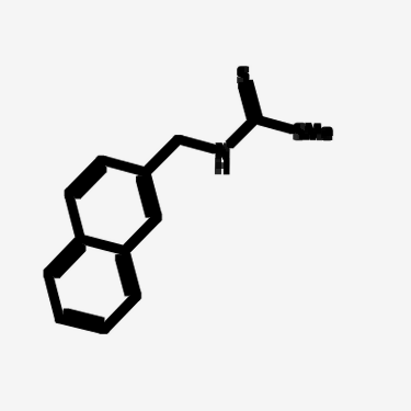 CSC(=S)NCc1ccc2ccccc2c1